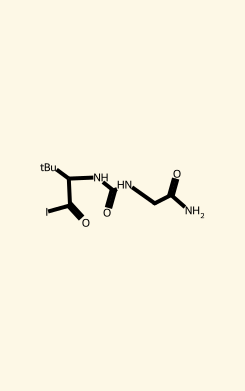 CC(C)(C)C(NC(=O)NCC(N)=O)C(=O)I